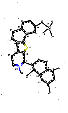 Cc1cc(C)c2ccc(-c3c4sc5c6cc(C[Si](C)(C)C)ccc6ccc5c4cc[n+]3C)c(C)c2c1